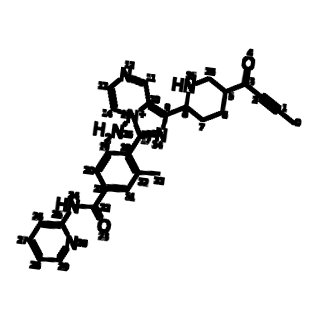 CC#CC(=O)C1CCC(C2=C3C=NC=C[N+]3(N)C(c3ccc(C(=O)Nc4ccccn4)cc3C)=N2)NC1